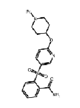 CC(C)N1CCC(Oc2ccc(S(=O)(=O)c3ccccc3C(N)=O)cn2)CC1